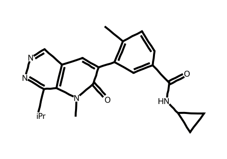 Cc1ccc(C(=O)NC2CC2)cc1-c1cc2cnnc(C(C)C)c2n(C)c1=O